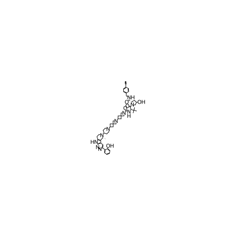 C#Cc1ccc(CNC(=O)[C@@H]2C[C@@H](O)CN2C(=O)[C@@H](NC(=O)N2CC3(CC(N4CC5(CC(N6CCC(N7CCc8[nH]c9nnc(-c%10ccccc%10O)cc9c8[C@H]7C)CC6)C5)C4)C3)C2)C(C)(C)C)cc1